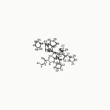 C=C(/C=C\C)CCC1c2ccccc2-c2cc(CC3CCCC3)c([Si](C)(C)C)c[n+]2C1CC(=C)N(C)c1ccccc1NCc1ccccc1